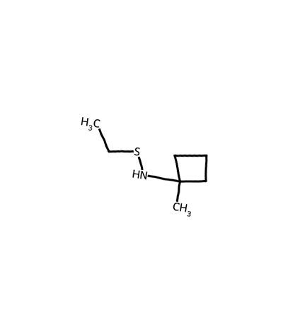 CCSNC1(C)CCC1